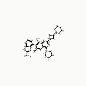 Nc1nc2c(-c3c(Cl)cc4c(N5CCNCC5)nc(N5CC(N6CCCCC6)C5)nc4c3F)cccc2s1